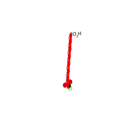 O=C(O)CCOCCOCCOCCOCCOCCOCCOCCOCCOCCOCCOCCOCCOC(C1=CCCCC1)(C1C=CCCC1)C1C=CC(Cl)CC1